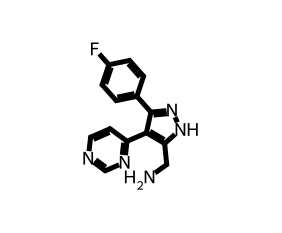 NCc1[nH]nc(-c2ccc(F)cc2)c1-c1ccncn1